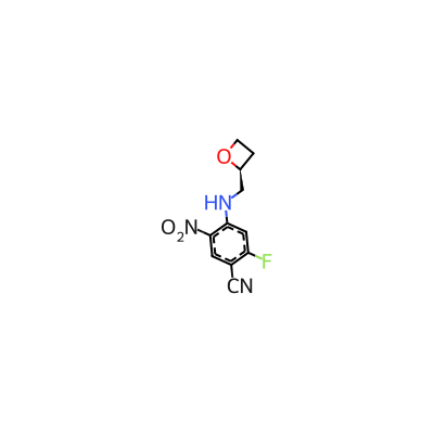 N#Cc1cc([N+](=O)[O-])c(NC[C@@H]2CCO2)cc1F